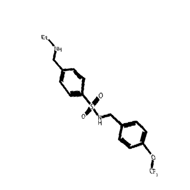 CCNCc1ccc(S(=O)(=O)NCc2ccc(OC(F)(F)F)cc2)cc1